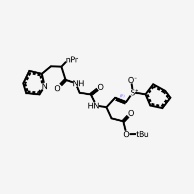 CCCC(Cc1ccccn1)C(=O)NCC(=O)NC(/C=C/[S+]([O-])c1ccccc1)CC(=O)OC(C)(C)C